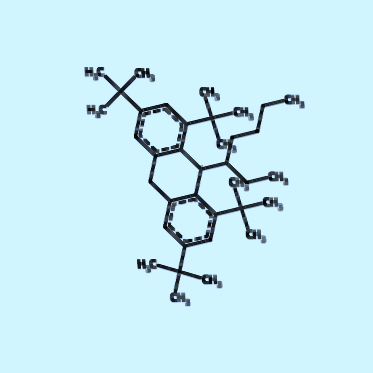 CCCCC(CC)[C]1c2c(cc(C(C)(C)C)cc2C(C)(C)C)Cc2cc(C(C)(C)C)cc(C(C)(C)C)c21